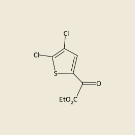 CCOC(=O)C(=O)c1cc(Cl)c(Cl)s1